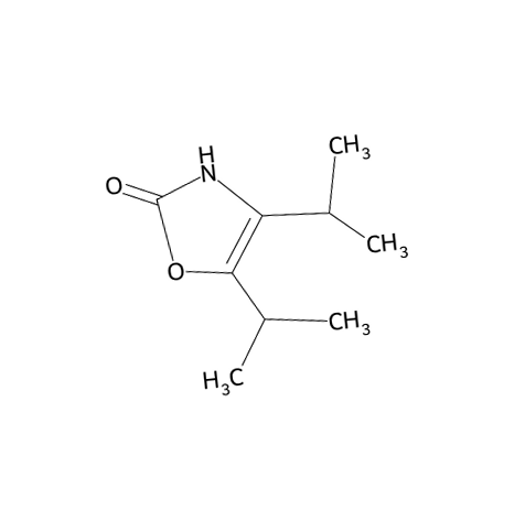 CC(C)c1[nH]c(=O)oc1C(C)C